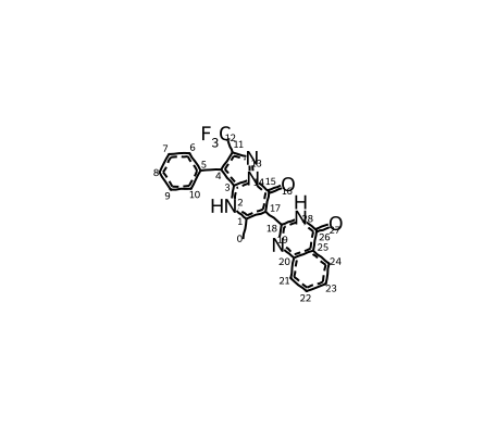 Cc1[nH]c2c(-c3ccccc3)c(C(F)(F)F)nn2c(=O)c1-c1nc2ccccc2c(=O)[nH]1